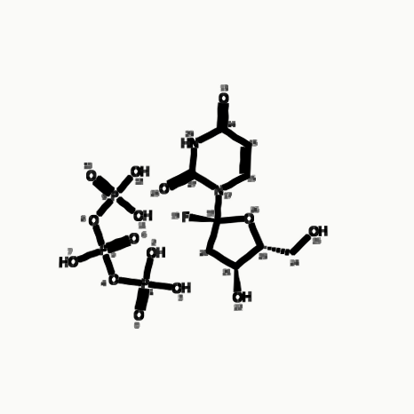 O=P(O)(O)OP(=O)(O)OP(=O)(O)O.O=c1ccn([C@@]2(F)C[C@H](O)[C@@H](CO)O2)c(=O)[nH]1